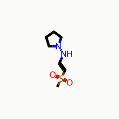 CS(=O)(=O)C=CNN1CCCC1